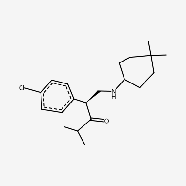 CC(C)C(=O)[C@H](CNC1CCC(C)(C)CC1)c1ccc(Cl)cc1